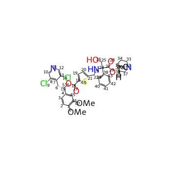 COc1ccc([C@H](Cc2c(Cl)cncc2Cl)OC(=O)c2ccc(CNC(CO)(C(=O)O[C@H]3CN4CCC3CC4)c3ccccc3)s2)cc1OC